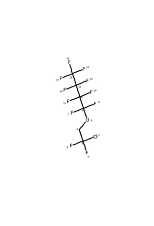 FC(F)(Cl)COC(F)(F)C(F)(F)C(F)(F)C(F)(F)F